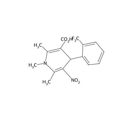 CC1=C(C(=O)O)C(c2ccccc2C(F)(F)F)C([N+](=O)[O-])=C(C)N1C